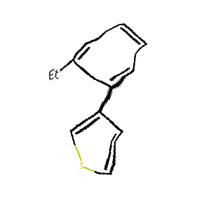 [CH2]Cc1ccccc1-c1ccsc1